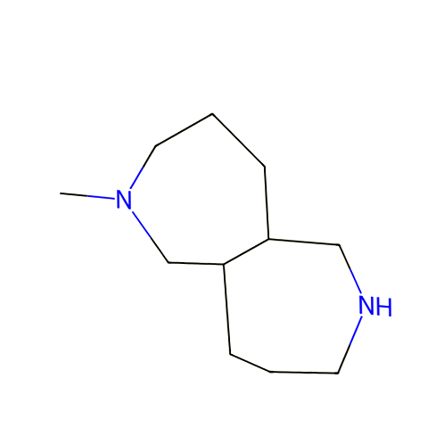 CN1CCCC2CNCCCC2C1